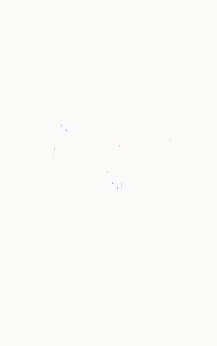 Cc1cccc2c(C3=CCN4CCC[C@H]4C3)c([S+]([O-])c3cccc4ccccc34)[nH]c12